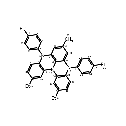 CCc1ccc(N2c3ccc(CC)cc3B3c4cc(CC)ccc4N(c4ccc(CC)cc4)c4cc(C)cc2c43)cc1